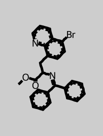 COC(=O)C(Cc1ccc(Br)c2cccnc12)N=C(c1ccccc1)c1ccccc1